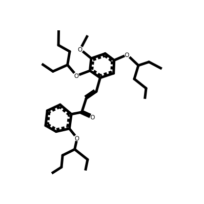 CCCC(CC)Oc1cc(C=CC(=O)c2ccccc2OC(CC)CCC)c(OC(CC)CCC)c(OC)c1